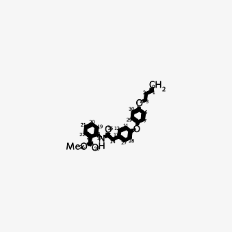 C=CCCOc1ccc(Oc2ccc(CC(=O)Nc3ccccc3C(=O)OC)cc2)cc1